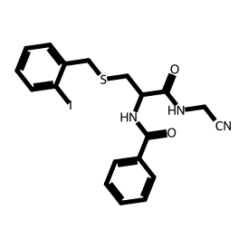 N#CCNC(=O)C(CSCc1ccccc1I)NC(=O)c1ccccc1